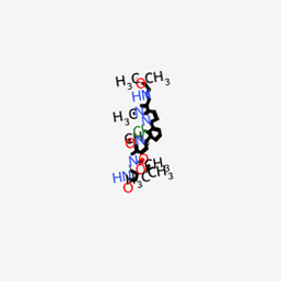 COc1nc(-c2cccc(-c3ccc4c(CNCC(C)OC)cn(C)c4n3)c2Cl)ccc1CN(C[C@@H]1CCC(=O)N1)C(=O)OC(C)(C)C